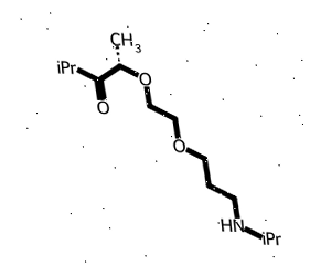 CC(C)NCCCOCCO[C@@H](C)C(=O)C(C)C